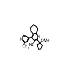 COC1(c2nc3c(c(-c4ccnc(C)c4)c2C#N)CCCCC3)CCCC1